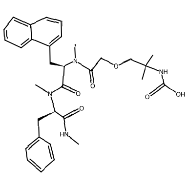 CNC(=O)[C@@H](Cc1ccccc1)N(C)C(=O)[C@@H](Cc1cccc2ccccc12)N(C)C(=O)COCC(C)(C)NC(=O)O